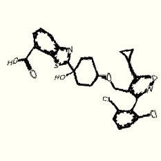 O=C(O)c1cccc2nc([C@]3(O)CC[C@@H](OCc4c(-c5c(Cl)cccc5Cl)noc4C4CC4)CC3)sc12